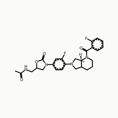 CC(=O)NCC1CN(c2ccc(N3CC4CCCN(C(=O)c5ccccc5F)[C@H]4C3)c(F)c2)C(=O)O1